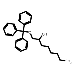 CCCCCCC(O)COC(c1ccccc1)(c1ccccc1)c1ccccc1